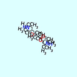 CC1(C)CC(CC(=O)C(C)(C)C(C)(C)C(=O)OC2CC(C)(C)NC(C)(C)C2)CC(C)(C)N1